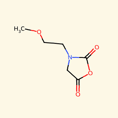 COCCN1CC(=O)OC1=O